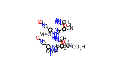 COc1cc(C2CCN(C3COC3)CC2)ccc1Nc1ncc(-c2ccc(C#N)c(O[C@@H](C)Cn3cnnn3)c2)cn1.COc1cc(C2CCN(C3COC3)CC2)ccc1Nc1ncc(-c2ccc(C#N)c(O[C@@H](C)Cn3cnnn3)c2)cn1.O=C(O)/C=C/C(=O)O